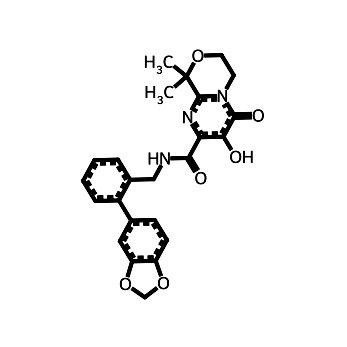 CC1(C)OCCn2c1nc(C(=O)NCc1ccccc1-c1ccc3c(c1)OCO3)c(O)c2=O